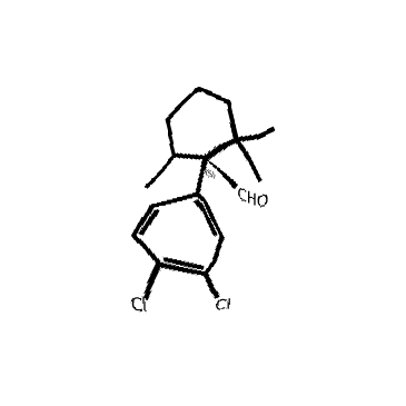 CC1CCCC(C)(C)[C@]1(C=O)c1ccc(Cl)c(Cl)c1